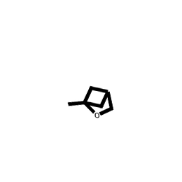 CC12CC(CO1)C2